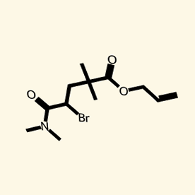 C=CCOC(=O)C(C)(C)CC(Br)C(=O)N(C)C